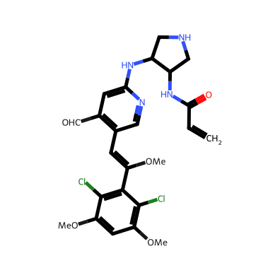 C=CC(=O)NC1CNCC1Nc1cc(C=O)c(/C=C(\OC)c2c(Cl)c(OC)cc(OC)c2Cl)cn1